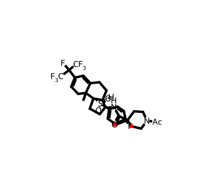 CC(=O)N1CCC(C(=O)N[C@H]2CC[C@]3(S(=O)(=O)c4ccc(F)cc4)[C@H]2CCC2=CC(C(F)(C(F)(F)F)C(F)(F)F)=CCC23C)CC1